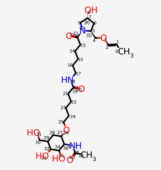 CC=COC[C@@H]1C[C@@H](O)CN1C(=O)CCCCCNC(=O)CCCCCOC1CC(CO)C(O)C(O)C1NC(C)=O